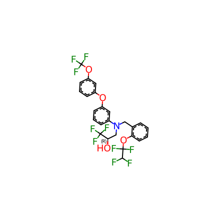 O[C@H](CN(Cc1ccccc1OC(F)(F)C(F)F)c1cccc(Oc2cccc(OC(F)(F)F)c2)c1)C(F)(F)F